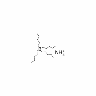 CCCCC[B-](CCCCC)(CCCCC)CCCCC.[NH4+]